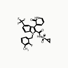 Cc1cccc(Cn2c(C(=O)NS(=O)(=O)C3CC3)c(-c3ccc[nH]c3=O)c3cc(C(F)(F)F)ccc32)c1F